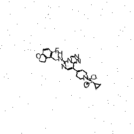 O=S(=O)(C1CC1)N1CC=C(c2cnc(NCc3c(F)ccc4c3CCO4)n3cnnc23)CC1